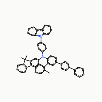 Cc1ccccc1-c1cc(-c2ccc(-c3ccccc3)cc2)ccc1N(c1ccc(-n2c3ccccc3c3ccccc32)cc1)c1ccc2c(c1)C(C)(C)c1ccccc1-2